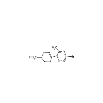 CCOC(=O)C1CC=C(c2ncc(Br)cc2C)CC1